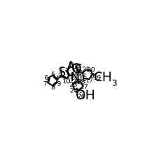 CC(=O)c1sc(-c2ccccc2)cc1N(C(=O)[C@H]1CC[C@H](C)CC1)[C@H]1CC[C@@H](O)CC1